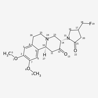 COc1cc2c(cc1OC)[C@@H]1CC(=O)[C@@H](N3CC(CF)CC3=O)CN1CC2